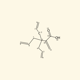 C=CCC(CC=C)(CC=C)C(=C)C(=O)O